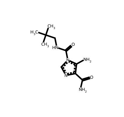 CC(C)(C)CNC(=O)n1cnc(C(N)=O)c1N